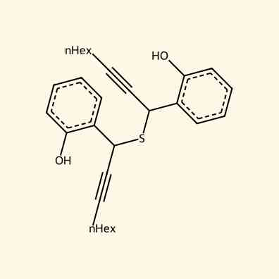 CCCCCCC#CC(SC(C#CCCCCCC)c1ccccc1O)c1ccccc1O